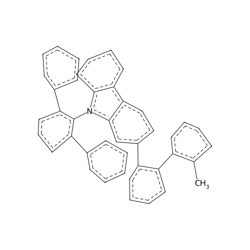 Cc1ccccc1-c1ccccc1-c1ccc2c3ccccc3n(-c3c(-c4ccccc4)cccc3-c3ccccc3)c2c1